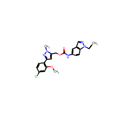 CCn1ncc2cc(NC(=O)OCc3cc(-c4ccc(Cl)cc4OC)nn3C)ccc21